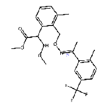 CONC(C(=O)OC)c1cccc(C)c1CO/N=C(\C)c1cc(C(F)(F)F)ccc1C